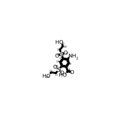 Nc1cc(C(=O)O)c(S(=O)(=O)CCO)cc1S(=O)(=O)CCO